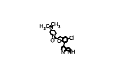 CN(C)C1CCN(C(=O)C2Cc3cc(Cl)cc(-c4ccnc5[nH]ccc45)c3O2)CC1